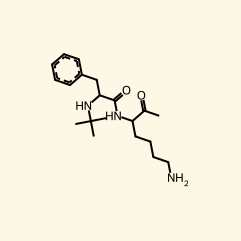 CC(=O)C(CCCCN)NC(=O)C(Cc1ccccc1)NC(C)(C)C